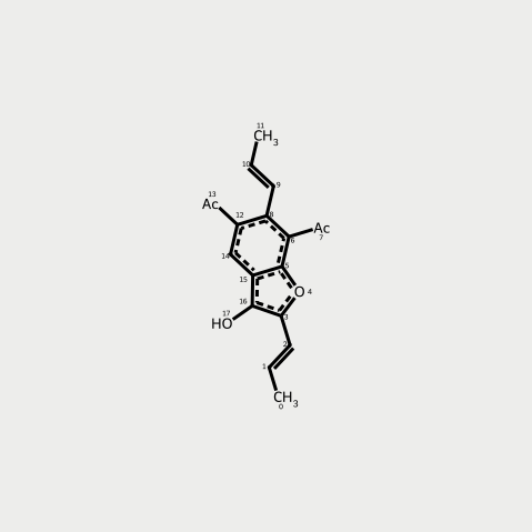 C/C=C/c1oc2c(C(C)=O)c(/C=C/C)c(C(C)=O)cc2c1O